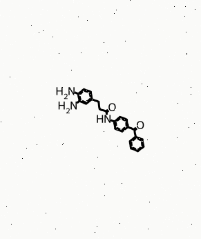 Nc1ccc(CCC(=O)Nc2ccc(C(=O)c3ccccc3)cc2)cc1N